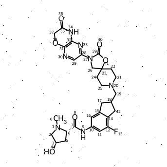 CN1C[C@H](O)C[C@H]1C(=O)Nc1cc(F)c2c(c1)CC(CN1CCC3(CC1)CN(c1cnc4c(n1)NC(=O)CO4)C(=O)O3)C2